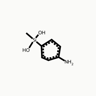 C[Si](O)(O)c1ccc(N)cc1